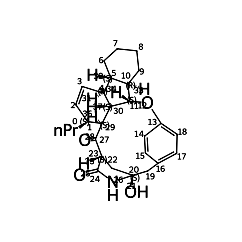 CCC[C@H]1C=C[C@H]2[C@@H]3CCCC[C@H]3[C@@H]3Oc4ccc(cc4)C[C@@]4(O)C[C@H](C(=O)N4)C(=O)[C@@H]1[C@H]23